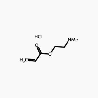 C=CC(=O)OCCNC.Cl